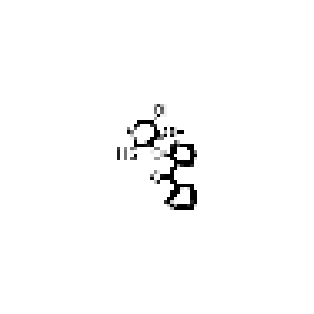 O=C(c1ccccc1)c1ccccc1O[C@@H]1[C@@H](O)[C@H](O)CS[C@H]1S